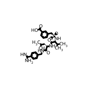 CC(C)C[C@H](NC(=O)[C@H](NS(=O)(=O)Cc1cccc(C(=O)O)c1)C(C)C)C(=O)NCc1ccc(C(=N)N)cc1